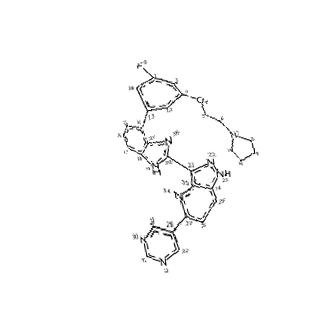 Fc1cc(OCCN2CCCC2)cc(-c2cccc3[nH]c(-c4n[nH]c5ccc(-c6cncnc6)nc45)nc23)c1